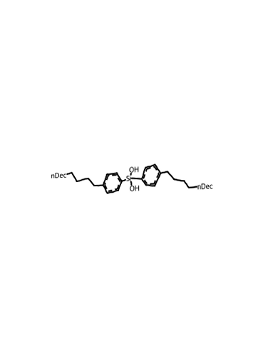 CCCCCCCCCCCCCCc1ccc([Si](O)(O)c2ccc(CCCCCCCCCCCCCC)cc2)cc1